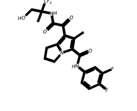 Cc1c(C(=O)C(=O)NC(C)(CO)C(F)(F)F)c2n(c1C(=O)Nc1ccc(F)c(F)c1)CCC2